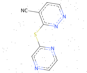 N#Cc1ccnnc1Sc1cnccn1